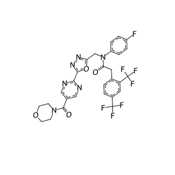 O=C(c1cnc(-c2nnc(CN(C(=O)Cc3ccc(C(F)(F)F)cc3C(F)(F)F)c3ccc(F)cc3)o2)nc1)N1CCOCC1